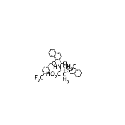 Cc1ccccc1CSC(C)(C)[C@H](NC(=O)c1ccc2ccccc2c1OCc1ccc(C(F)(F)F)cc1)C(=O)O